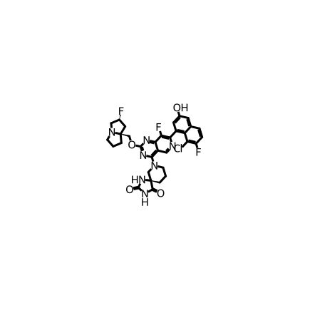 O=C1NC(=O)[C@]2(CCCN(c3nc(OC[C@@]45CCCN4C[C@H](F)C5)nc4c(F)c(-c5cc(O)cc6ccc(F)c(Cl)c56)ncc34)C2)N1